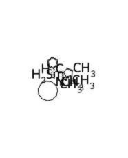 CC1=C[C](C)([Ti]([SiH2]c2ccccc2)[N](C)C2CCCCCCCCCC2)C(C)=C1C